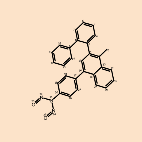 Cc1c(-c2ccccc2-c2ccccc2)cc(-c2ccc(B(N=O)N=O)cc2)c2ccccc12